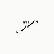 N#[C][Fe][C]#N.[InH3]